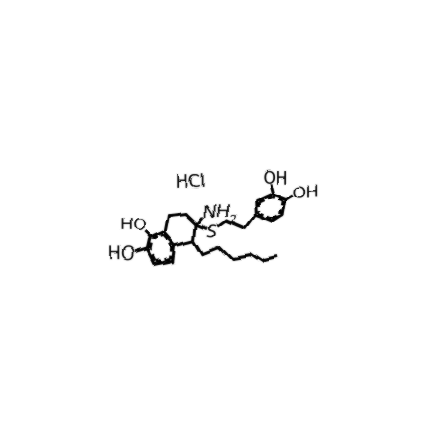 CCCCCCC1c2ccc(O)c(O)c2CCC1(N)SCCc1ccc(O)c(O)c1.Cl